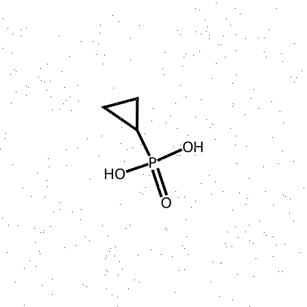 O=P(O)(O)C1CC1